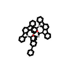 c1ccc(-c2ccc(-c3nc(C4c5ccccc5-c5ccc6c7ccccc7n(-c7ccccc7)c6c54)nc(-n4c5ccccc5c5ccc6c7ccccc7n(-c7ccccc7)c6c54)n3)cc2)cc1